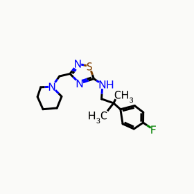 CC(C)(CNc1nc(CN2CCCCC2)ns1)c1ccc(F)cc1